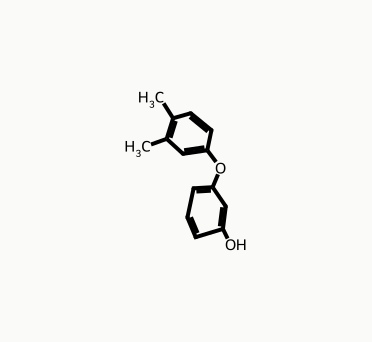 Cc1ccc(Oc2cccc(O)c2)cc1C